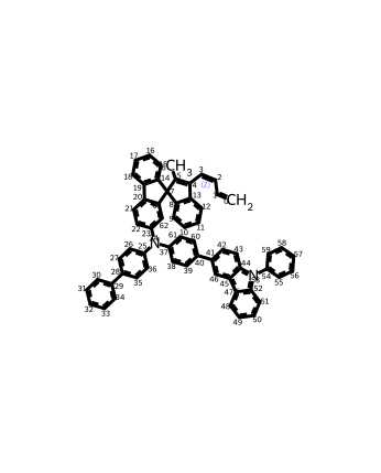 C=C/C=C\C1=C(C)C2(c3ccccc31)c1ccccc1-c1ccc(N(c3ccc(-c4ccccc4)cc3)c3ccc(-c4ccc5c(c4)c4ccccc4n5-c4ccccc4)cc3)cc12